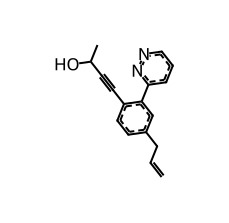 C=CCc1ccc(C#CC(C)O)c(-c2cccnn2)c1